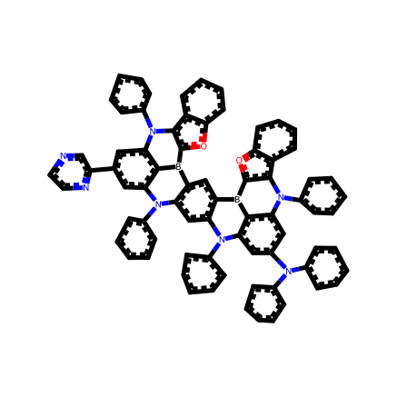 c1ccc(N(c2ccccc2)c2cc3c4c(c2)N(c2ccccc2)c2c(oc5ccccc25)B4c2cc4c(cc2N3c2ccccc2)N(c2ccccc2)c2cc(-c3cnccn3)cc3c2B4c2oc4ccccc4c2N3c2ccccc2)cc1